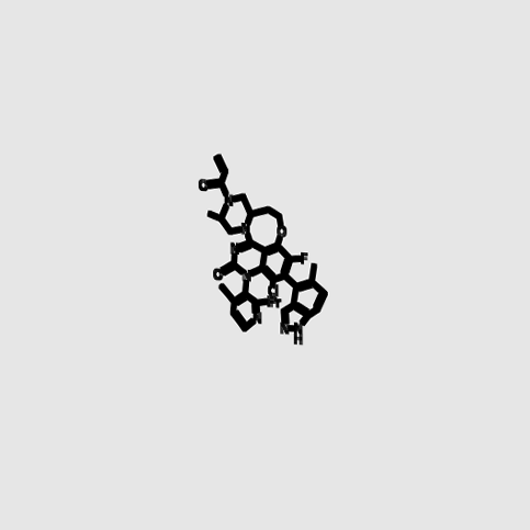 C=CC(=O)N1CC2CCOc3c(F)c(-c4c(C)ccc5[nH]ncc45)c(Cl)c4c3c(nc(=O)n4-c3c(C)ccnc3C(C)C)N2CC1C